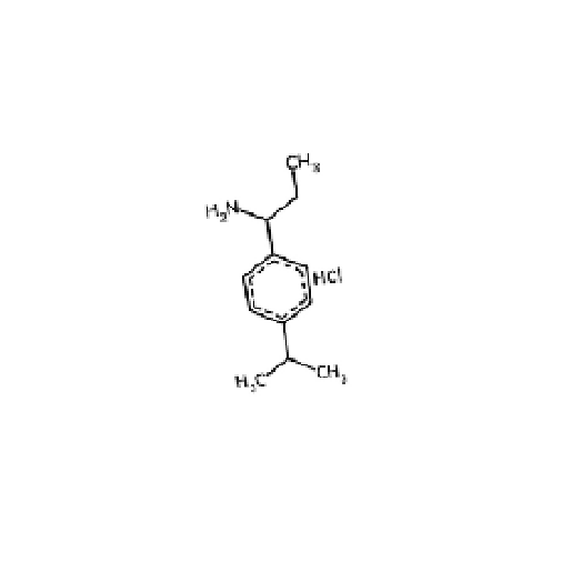 CCC(N)c1ccc(C(C)C)cc1.Cl